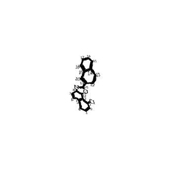 Clc1cccc2ccc3nc(-c4ccc5ccccc5c4)oc3c12